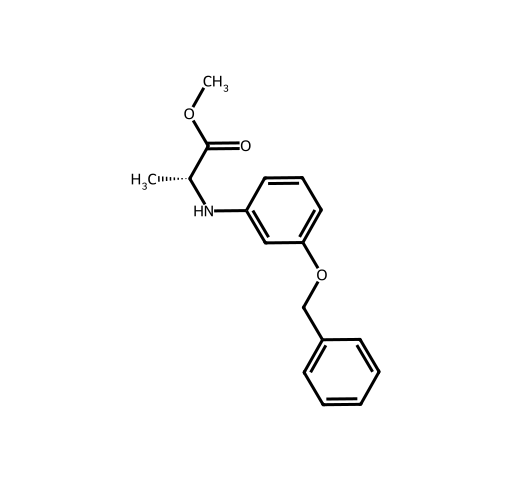 COC(=O)[C@@H](C)Nc1cccc(OCc2ccccc2)c1